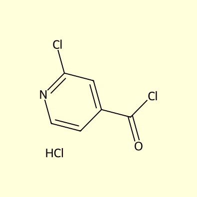 Cl.O=C(Cl)c1ccnc(Cl)c1